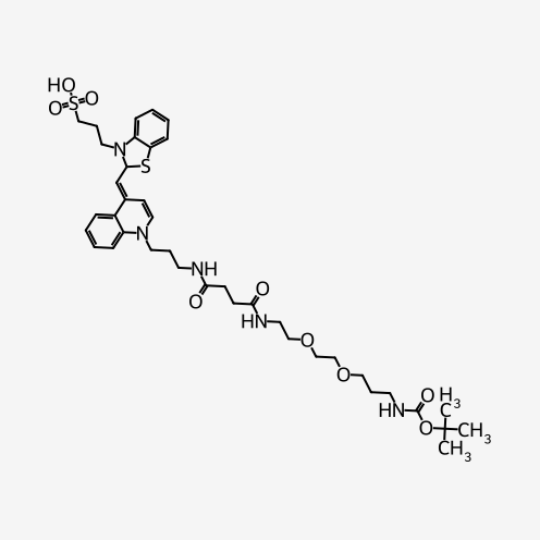 CC(C)(C)OC(=O)NCCCOCCOCCNC(=O)CCC(=O)NCCCN1C=CC(=CC2Sc3ccccc3N2CCCS(=O)(=O)O)c2ccccc21